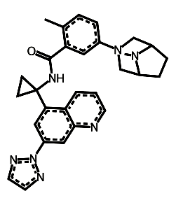 Cc1ccc(N2CC3CCC(C2)N3C)cc1C(=O)NC1(c2cc(-n3nccn3)cc3ncccc23)CC1